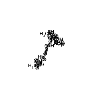 CC(C)N(C)[C@@H]1CC[C@H](N2CC[C@H](Nc3ncnc4ccc(C(F)(F)F)cc34)C2=O)[C@H](NC(=O)COCCNC(=O)COCCOCCNC(=O)CCNC(=O)[C@H]2CC(=O)N(C)[C@@H]2c2cccnc2)C1